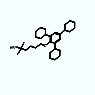 O=S(=O)(O)C(F)(F)CCCCOc1c(C2CCCCC2)cc(C2CCCCC2)cc1C1CCCCC1